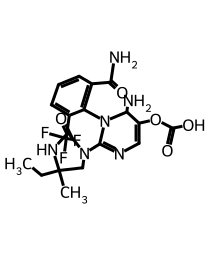 CCC1(C)CN(C2=NC=C(OC(=O)O)C(N)N2c2c(C(N)=O)cccc2C(F)(F)F)C(=O)N1